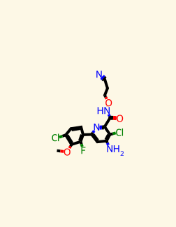 COc1c(Cl)ccc(-c2cc(N)c(Cl)c(C(=O)NOCCC#N)n2)c1F